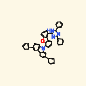 c1ccc(C2=NC(c3ccccc3)NC(c3cccc4oc5c(-n6c7ccc(-c8ccccc8)cc7c7ccc(-c8ccccc8)cc76)cccc5c34)=N2)cc1